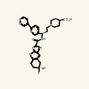 CC(C)[C@]1(F)CCc2nc3sc(C(=O)N[C@H](CCN4CCC(C(=O)O)CC4)c4ccc(-c5ccnnc5)nc4)nc3cc2C1